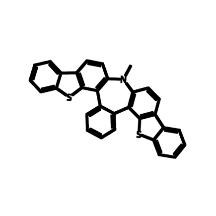 CN1c2ccc3c(sc4ccccc43)c2-c2ccccc2-c2c1ccc1c2sc2ccccc21